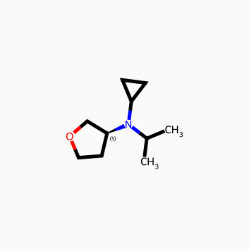 CC(C)N(C1CC1)[C@H]1CCOC1